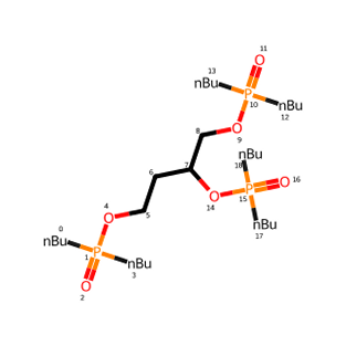 CCCCP(=O)(CCCC)OCCC(COP(=O)(CCCC)CCCC)OP(=O)(CCCC)CCCC